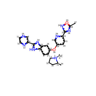 CC(=O)N1[C@@H](c2cc3[nH]c(-c4cnccn4)nc3cc2Oc2ccc(-c3noc(C)n3)nc2)CC[C@@H]1C